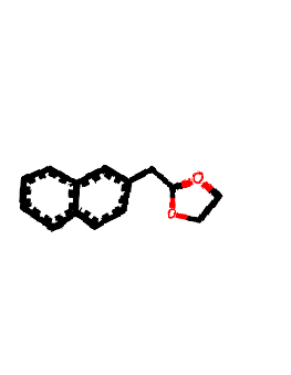 c1ccc2cc(CC3OCCO3)ccc2c1